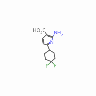 Nc1nc(C2CCC(F)(F)CC2)ccc1C(=O)O